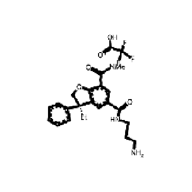 CC[C@]1(c2ccccc2)COc2c(C(=O)NC)cc(C(=O)NCCCN)cc21.O=C(O)C(F)(F)F